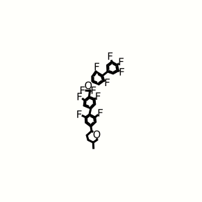 CC1CCC(c2cc(F)c(-c3cc(F)c(C(F)(F)Oc4cc(F)c(-c5cc(F)c(F)c(F)c5)c(F)c4)c(F)c3)c(F)c2)OC1